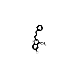 Cc1nc(CCCc2ccccc2)nc2ccc(Cl)cc12